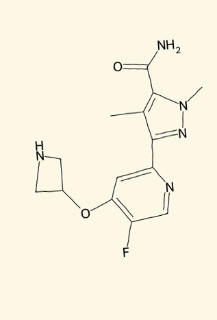 Cc1c(-c2cc(OC3CNC3)c(F)cn2)nn(C)c1C(N)=O